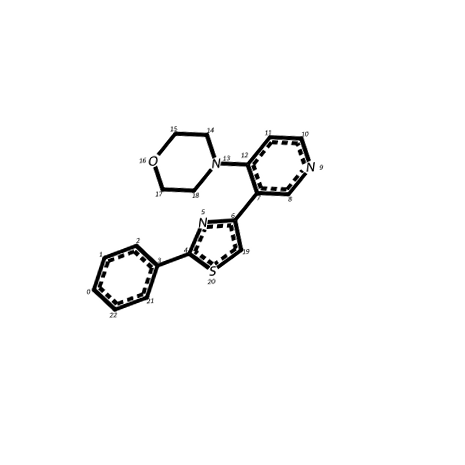 c1ccc(-c2nc(-c3cnccc3N3CCOCC3)cs2)cc1